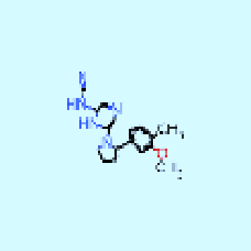 COc1cc(C2CCCN2C2=CN=CC(NC#N)N2)ccc1C